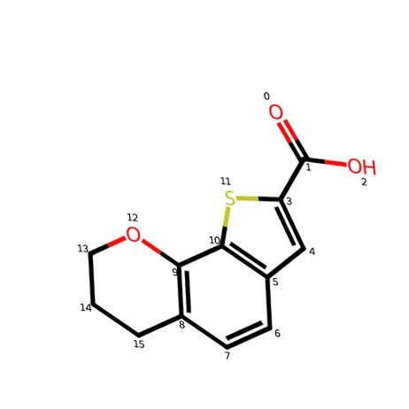 O=C(O)c1cc2ccc3c(c2s1)OCCC3